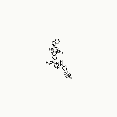 CN(c1ccc2c(c1)nc(NC(=O)N1CCc3ccccc31)n2C)c1ccnc(Nc2ccc(CS(C)(=O)=O)cc2)n1